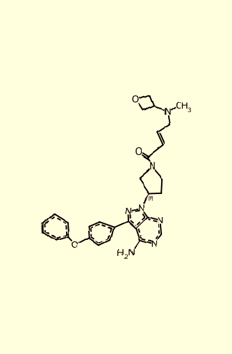 CN(CC=CC(=O)N1CC[C@@H](n2nc(-c3ccc(Oc4ccccc4)cc3)c3c(N)ncnc32)C1)C1COC1